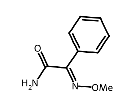 CO/N=C(/C(N)=O)c1ccccc1